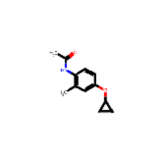 CC(=O)Nc1ccc(OC2CC2)cc1C